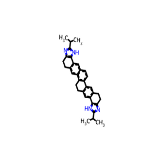 CC(C)c1nc2c([nH]1)-c1cc3c(cc1CC2)-c1ccc2cc4c(cc2c1CC3)CCc1nc(C(C)C)[nH]c1-4